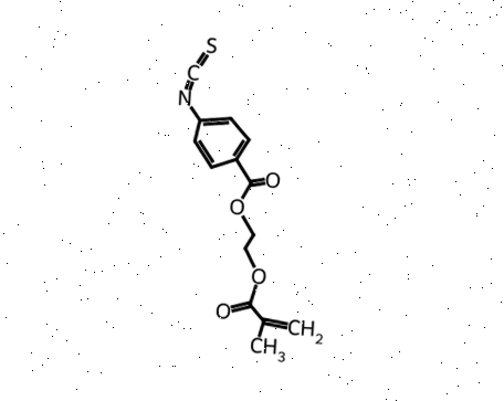 C=C(C)C(=O)OCCOC(=O)c1ccc(N=C=S)cc1